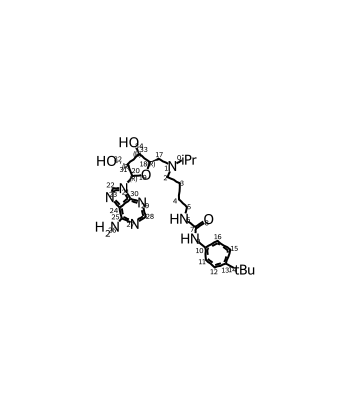 CC(C)N(CCCCNC(=O)Nc1ccc(C(C)(C)C)cc1)C[C@H]1O[C@@H](n2cnc3c(N)ncnc32)[C@H](O)[C@H]1O